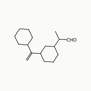 C=C(C1CCCCC1)C1CCCC(C(C)C=O)C1